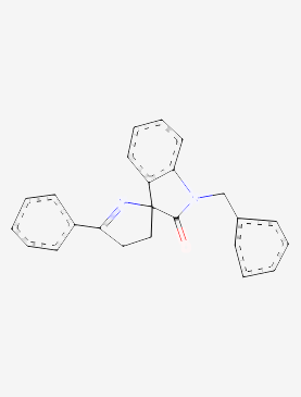 O=C1N(Cc2ccccc2)c2ccccc2C12CCC(c1ccccc1)=N2